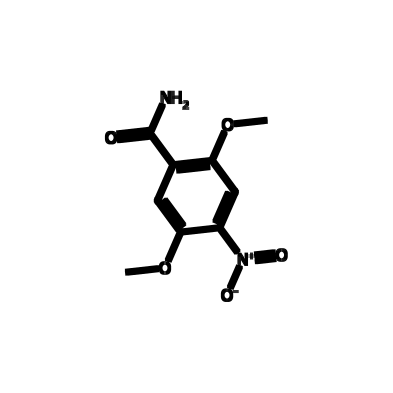 COc1cc([N+](=O)[O-])c(OC)cc1C(N)=O